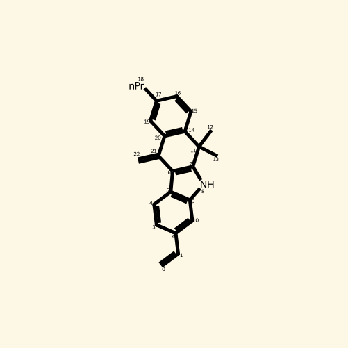 C=Cc1ccc2c3c([nH]c2c1)C(C)(C)c1ccc(CCC)cc1C3=C